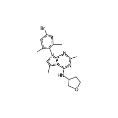 Cc1nc(NC2CCOC2)c2c(C)cn(-c3c(C)cc(Br)cc3C)c2n1